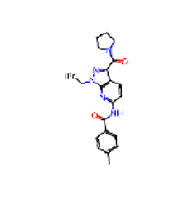 Cc1ccc(C(=O)Nc2ccc3c(C(=O)N4CCCC4)nn(CC(C)C)c3n2)cc1